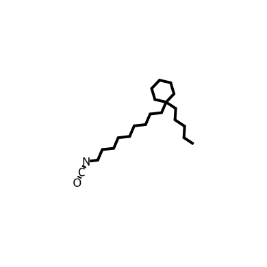 CCCCCC1(CCCCCCCCCN=C=O)CCCCC1